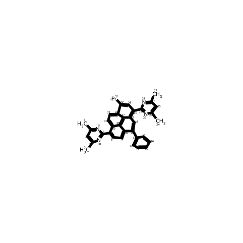 Cc1cc(C)nc(-c2ccc3c(-c4ccccc4)cc4c(-c5nc(C)cc(C)n5)cc(C(C)C)c5ccc2c3c45)n1